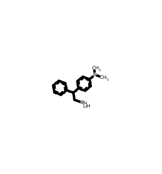 CCC(C)C[C](c1ccccc1)c1ccc(N(C)C)cc1.[LiH]